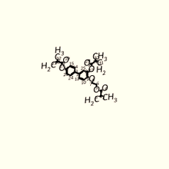 C=C(C)C(=O)OCCOc1ccc(-c2ccc(OC(=O)C(=C)C)cc2)cc1OC(=O)C(=C)C